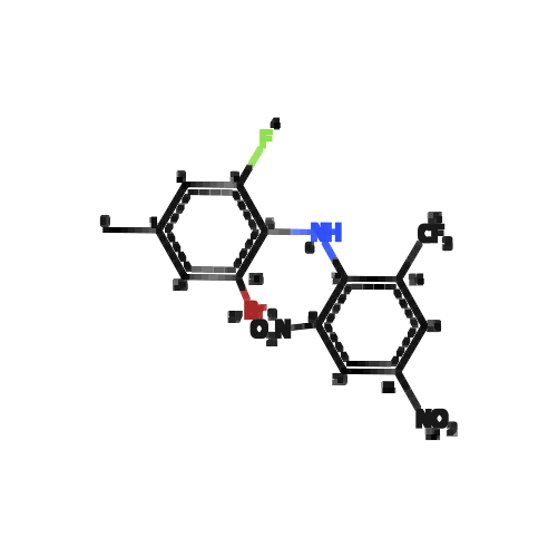 Cc1cc(F)c(Nc2c([N+](=O)[O-])cc([N+](=O)[O-])cc2C(F)(F)F)c(Br)c1